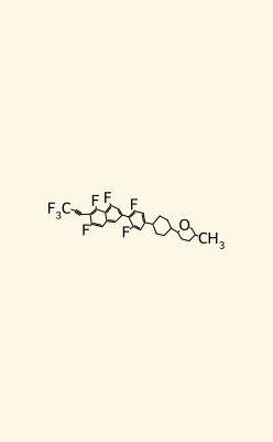 CC1CCC(C2CCC(c3cc(F)c(-c4cc(F)c5c(F)c(C#CC(F)(F)F)c(F)cc5c4)c(F)c3)CC2)OC1